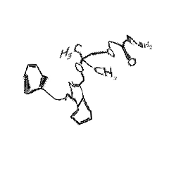 CC(C)(COCC(N)=O)OCc1nn(Cc2ccccc2)c2ccccc12